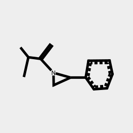 C=C(C(C)C)N1CC1c1ccccc1